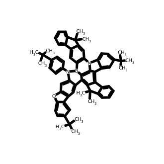 CC(C)(C)c1ccc(N2B3c4cc5c(cc4-n4c6ccc(C(C)(C)C)cc6c6c7c(c(c3c64)-c3cc4c(cc32)oc2ccc(C(C)(C)C)cc24)C(C)(C)c2ccccc2-7)C(C)(C)c2ccccc2-5)cc1